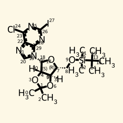 CC1(C)O[C@H]2[C@H](O1)[C@@H](CO[Si](C)(C)C(C)(C)C)O[C@H]2n1cnc2c(Cl)nc(I)nc21